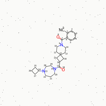 N#Cc1ccccc1C(=O)N1CCC2(CC1)CC(C(=O)N1CCCN(C3CCC3)CC1)C2